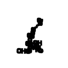 C=CC(=O)OCCCCCCOc1ccc(OC(=O)[C@H]2CC[C@H](C(=O)Oc3ccc(OC=O)cc3/C=N/N(CCO)c3nc4ccccc4s3)CC2)cc1